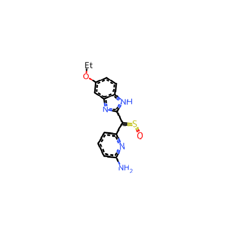 CCOc1ccc2[nH]c(C(=S=O)c3cccc(N)n3)nc2c1